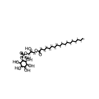 CCCCCCCCCCCCCCCCCC(=O)OC[C@@H](O)COP(=O)(O)O[C@H]1C(O)C(O)C(O)[C@@H](O)C1O